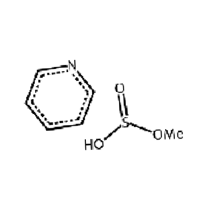 COS(=O)O.c1ccncc1